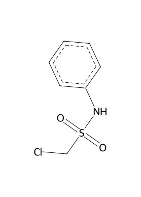 O=S(=O)(CCl)Nc1ccccc1